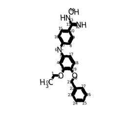 CCOc1cc([N]c2ccc(C(=N)NO)cc2)ccc1OCc1ccccc1